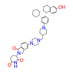 O=C1CCC(N2Cc3cc(N4CCN(CC5CCN(c6ccc([C@H]7c8ccc(O)cc8CC[C@H]7C7CCCCC7)cc6)CC5)CC4)ccc3C2=O)C(=O)N1